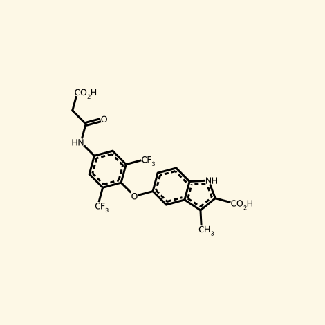 Cc1c(C(=O)O)[nH]c2ccc(Oc3c(C(F)(F)F)cc(NC(=O)CC(=O)O)cc3C(F)(F)F)cc12